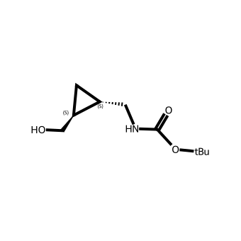 CC(C)(C)OC(=O)NC[C@H]1C[C@@H]1CO